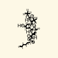 C=CCCCCS(=O)(=O)NC(=O)[C@@]1(NC(=O)[C@@H]2C[C@@H](O)CN2C(=O)[C@@H](NC(=O)OC(C)(C)C)C(C)(C)C)C[C@H]1CC